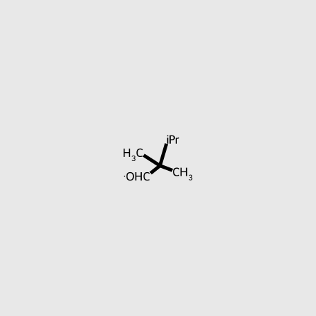 CC(C)C(C)(C)[C]=O